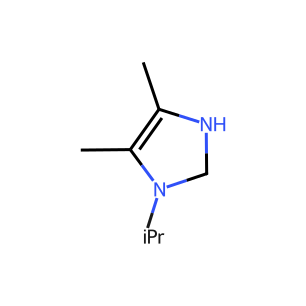 CC1=C(C)N(C(C)C)CN1